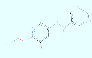 O=C(Nc1cnc(OCC(F)(F)F)c(Br)c1)c1cncnc1